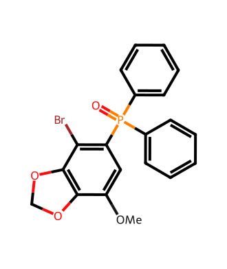 COc1cc(P(=O)(c2ccccc2)c2ccccc2)c(Br)c2c1OCO2